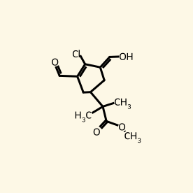 COC(=O)C(C)(C)C1CC(C=O)=C(Cl)/C(=C/O)C1